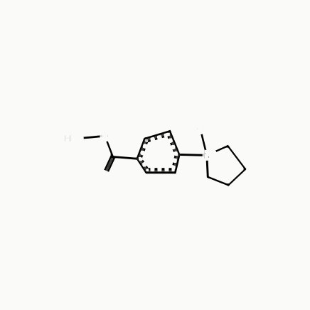 COC(=O)c1ccc([N+]2([O-])CCCC2)cc1